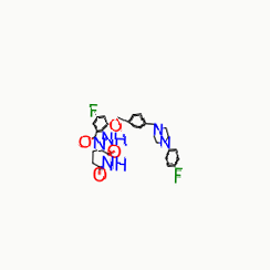 O=C1CCC(n2[nH]c3c(OCc4ccc(CN5CCN(c6ccc(F)cc6)CC5)cc4)cc(F)cc3c2=O)C(=O)N1